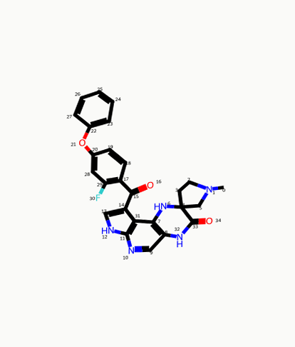 CN1CCC2(C1)Nc1c(cnc3[nH]cc(C(=O)c4ccc(Oc5ccccc5)cc4F)c13)NC2=O